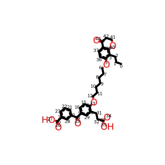 CCCc1c(OCCCCCCCOc2ccc(C(=O)c3cccc(C(=O)O)c3)cc2CCC(=O)O)ccc2c1OCCC2=O